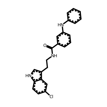 O=C(NCCc1c[nH]c2ccc(Cl)cc12)c1cccc(Nc2ccccc2)c1